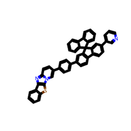 c1cncc(-c2ccc3c(c2)C2(c4ccccc4-c4ccccc42)c2cc(-c4ccc(-c5ccc6nc7c8ccccc8sc7n6c5)cc4)ccc2-3)c1